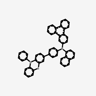 c1ccc(N2c3ccccc3Sc3cc(-c4ccc(N(c5ccc6c7ccccc7c7ccccc7c6c5)c5cccc6ccccc56)cc4)ccc32)cc1